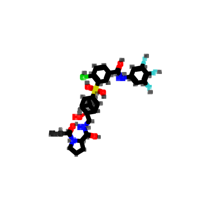 COC(=O)N1CCCC1C(=O)NC[C@]1(O)C2CC(S(=O)(=O)c3cc(C(=O)Nc4cc(F)c(F)c(F)c4)ccc3Cl)CC1[C@@H]2C